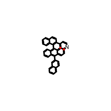 c1ccc2cc(-c3c4ccccc4c(-c4c(-c5ccncc5)ccc5ccccc45)c4ccccc34)ccc2c1